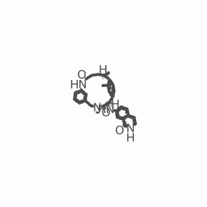 Cc1cc2ccc1[C@@H](C)CCC(=O)Nc1cccc(c1)CN(C)C(=O)[C@@H]2Nc1ccc2cc[nH]c(=O)c2c1